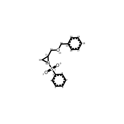 O=S(=O)(c1ccccc1)N1CC1COCc1ccccc1